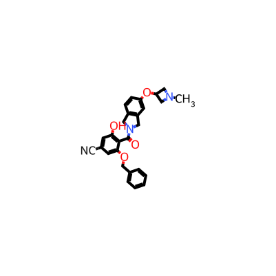 CN1CC(Oc2ccc3c(c2)CN(C(=O)c2c(O)cc(C#N)cc2OCc2ccccc2)C3)C1